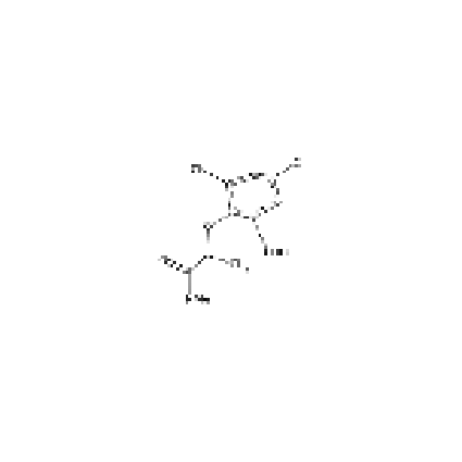 CNC(=O)C(C)Oc1c(Cl)cc(Cl)cc1C=O